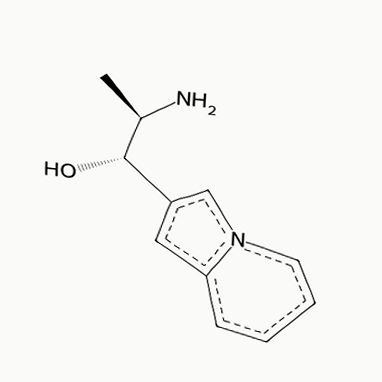 C[C@@H](N)[C@@H](O)c1cc2ccccn2c1